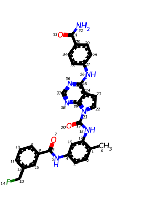 Cc1ccc(NC(=O)c2cccc(CF)c2)cc1NC(=O)n1ccc2c(Nc3ccc(C(N)=O)cc3)ncnc21